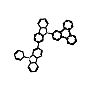 C1=CCC(N2C3C=CC=CC3C3C=CC(c4ccc5c(c4)N(c4ccc6c7ccccc7c7ccccc7c6c4)C4C=CC=CC54)=CC32)C=C1